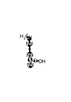 Cn1cc(-c2ncc(C#Cc3cnc(N4CCN(c5ncccn5)[C@@H](COCCO)C4)nc3)cn2)cn1